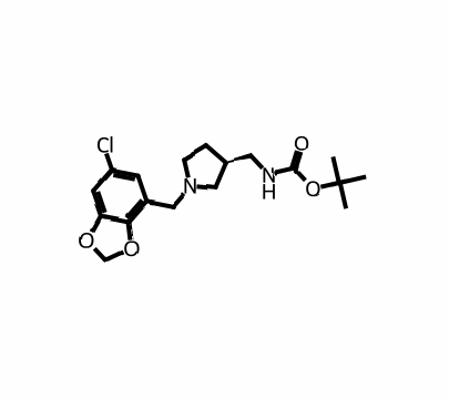 CC(C)(C)OC(=O)NC[C@@H]1CCN(Cc2cc(Cl)cc3c2OCO3)C1